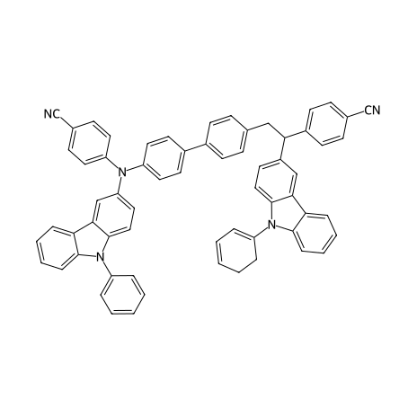 N#Cc1ccc(C(Cc2ccc(-c3ccc(N(c4ccc(C#N)cc4)c4ccc5c(c4)c4ccccc4n5-c4ccccc4)cc3)cc2)c2ccc3c(c2)c2ccccc2n3C2=CC=CCC2)cc1